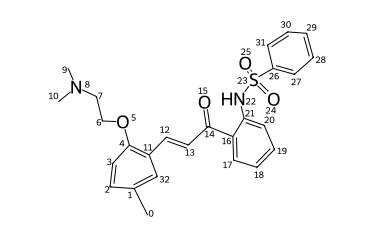 Cc1ccc(OCCN(C)C)c(C=CC(=O)c2ccccc2NS(=O)(=O)c2ccccc2)c1